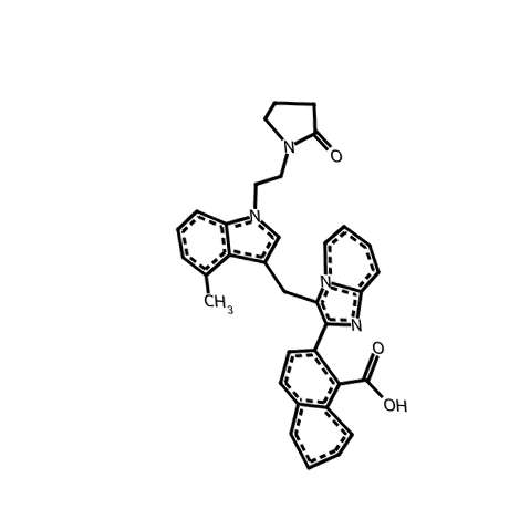 Cc1cccc2c1c(Cc1c(-c3ccc4ccccc4c3C(=O)O)nc3ccccn13)cn2CCN1CCCC1=O